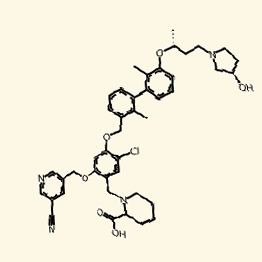 Cc1c(COc2cc(OCc3cncc(C#N)c3)c(CN3CCCCC3C(=O)O)cc2Cl)cccc1-c1cccc(O[C@H](C)CCN2CC[C@@H](O)C2)c1C